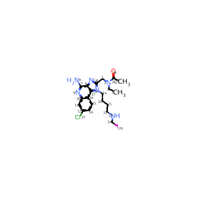 CCN(Cc1nc2c(N)nc3cc(Cl)ccc3c2n1CCCCNCI)C(C)=O